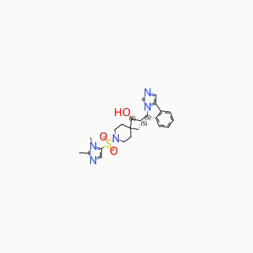 Cc1ncc(S(=O)(=O)N2CCC3(CC2)C[C@@H]([C@H]2c4ccccc4-c4cncn42)[C@H]3O)n1C